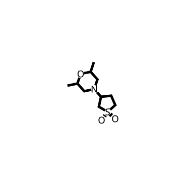 CC1CN(C2CCS(=O)(=O)C2)CC(C)O1